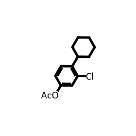 CC(=O)Oc1ccc(C2CCCCC2)c(Cl)c1